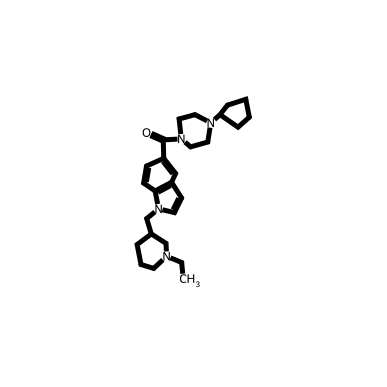 CCN1CCCC(Cn2ccc3cc(C(=O)N4CCN(C5CCCC5)CC4)ccc32)C1